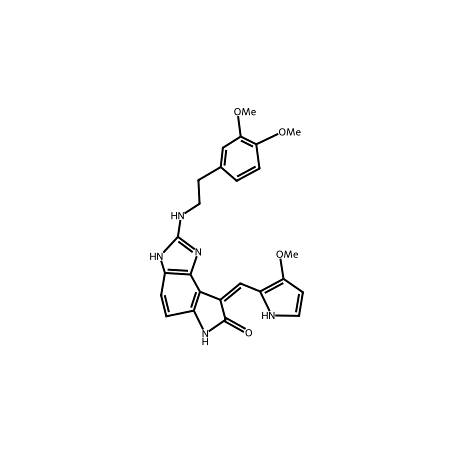 COc1ccc(CCNc2nc3c4c(ccc3[nH]2)NC(=O)C4=Cc2[nH]ccc2OC)cc1OC